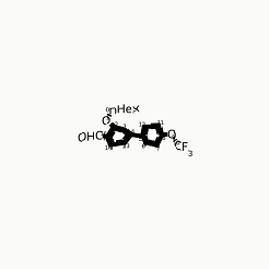 CCCCCCOc1cc(-c2ccc(OC(F)(F)F)cc2)ccc1C=O